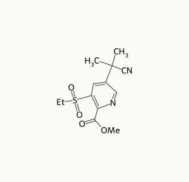 CCS(=O)(=O)c1cc(C(C)(C)C#N)cnc1C(=O)OC